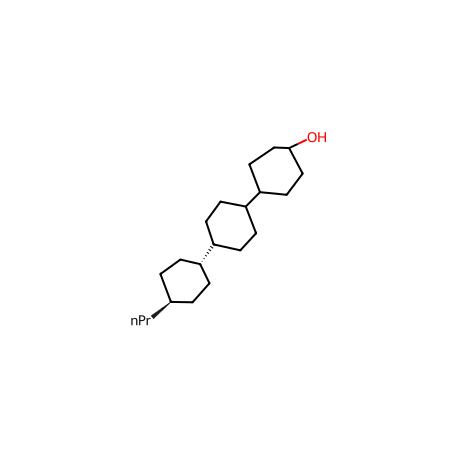 CCC[C@H]1CC[C@H](C2CCC(C3CCC(O)CC3)CC2)CC1